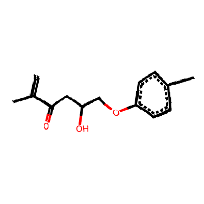 C=C(C)C(=O)CC(O)COc1ccc(C)cc1